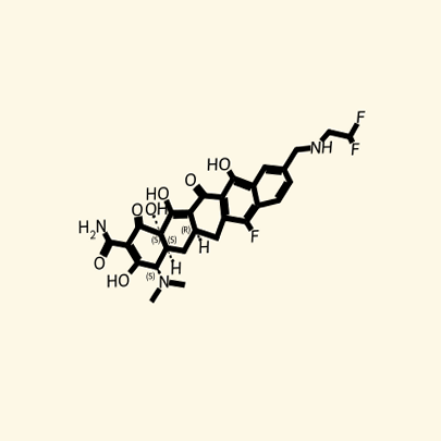 CN(C)[C@@H]1C(O)=C(C(N)=O)C(=O)[C@@]2(O)C(O)=C3C(=O)c4c(c(F)c5ccc(CNCC(F)F)cc5c4O)C[C@H]3C[C@@H]12